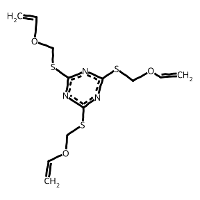 C=COCSc1nc(SCOC=C)nc(SCOC=C)n1